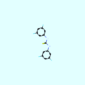 Fc1cc(F)cc(NC(=S)Nc2cc(F)cc(F)c2)c1